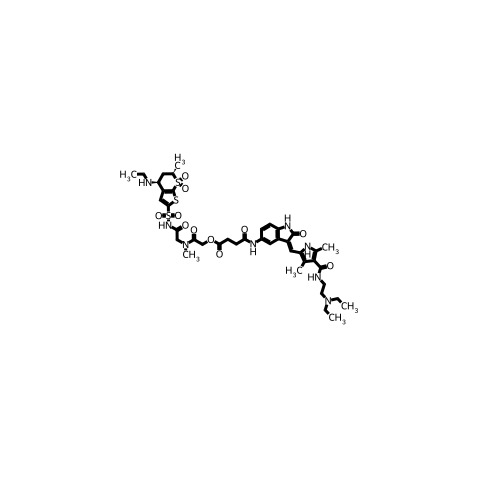 CCN[C@H]1C[C@H](C)S(=O)(=O)c2sc(S(=O)(=O)NC(=O)CN(C)C(=O)COC(=O)CCC(=O)Nc3ccc4c(c3)/C(=C/c3[nH]c(C)c(C(=O)NCCN(CC)CC)c3C)C(=O)N4)cc21